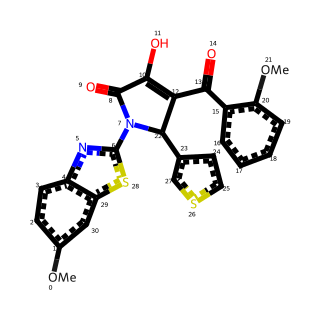 COc1ccc2nc(N3C(=O)C(O)=C(C(=O)c4ccccc4OC)C3c3ccsc3)sc2c1